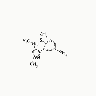 CNc1cn(C)nc1-c1cc(P)ccc1SC